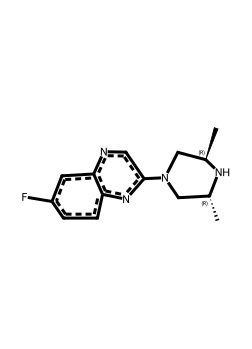 C[C@@H]1CN(c2cnc3cc(F)ccc3n2)C[C@@H](C)N1